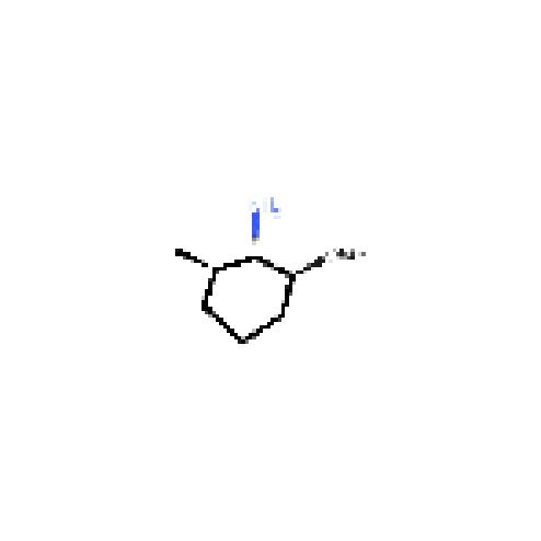 CO[C@H]1CCC[C@@H](C)[C@H]1N